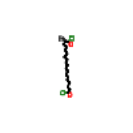 CCC(CCCCCCCCCCCCCCCCC(=O)Cl)C(=O)Cl